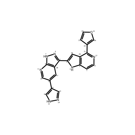 c1cc2[nH]c(-c3n[nH]c4ncc(-c5cn[nH]c5)cc34)cc2c(-c2ccoc2)n1